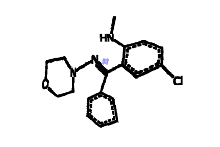 CNc1ccc(Cl)cc1/C(=N/N1CCOCC1)c1ccccc1